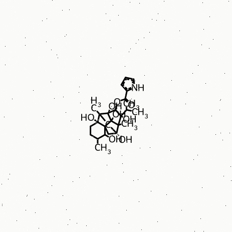 CC1CC[C@@]2(O)C3(C[C@@]4(O)CC2(C)[C@]2(O)C(OC(=O)c5ccc[nH]5)C(O)(C(C)C)C4(C)C32O)C1O